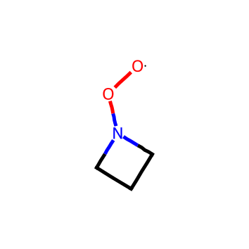 [O]ON1CCC1